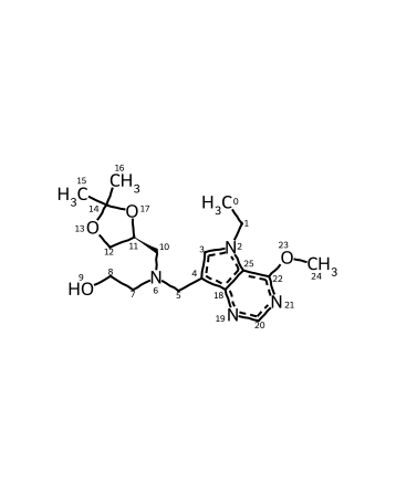 CCn1cc(CN(CCO)C[C@H]2COC(C)(C)O2)c2ncnc(OC)c21